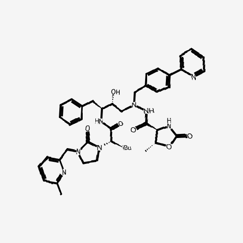 CC[C@H](C)[C@@H](C(=O)N[C@@H](Cc1ccccc1)[C@H](O)CN(Cc1ccc(-c2ccccn2)cc1)NC(=O)[C@H]1NC(=O)O[C@@H]1C)N1CCN(Cc2cccc(C)n2)C1=O